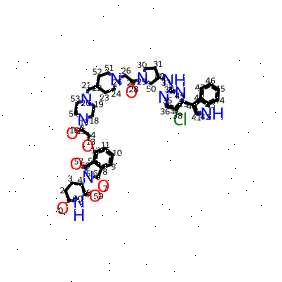 O=C1CCC(N2C(=O)c3cccc(OCC(=O)N4CCN(CC5CCN(CC(=O)N6CC[C@@H](Nc7ncc(Cl)c(-c8c[nH]c9ccccc89)n7)C6)CC5)CC4)c3C2=O)C(=O)N1